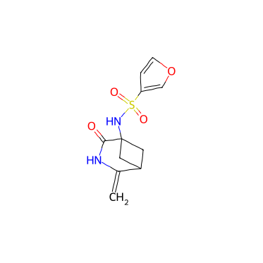 C=C1NC(=O)C2(NS(=O)(=O)c3ccoc3)CC1C2